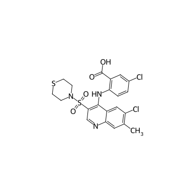 Cc1cc2ncc(S(=O)(=O)N3CCSCC3)c(Nc3ccc(Cl)cc3C(=O)O)c2cc1Cl